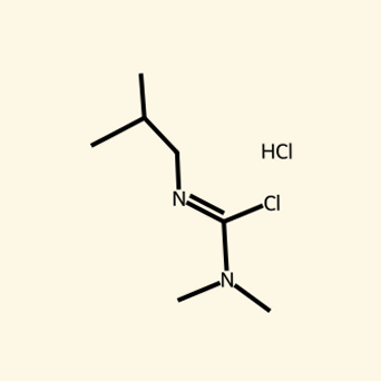 CC(C)CN=C(Cl)N(C)C.Cl